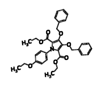 CCOC(=O)c1c(OCc2ccccc2)c(OCc2ccccc2)c(C(=O)OCC)n1-c1ccc(OCC)cc1